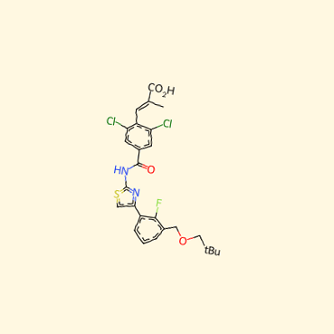 CC(=Cc1c(Cl)cc(C(=O)Nc2nc(-c3cccc(COCC(C)(C)C)c3F)cs2)cc1Cl)C(=O)O